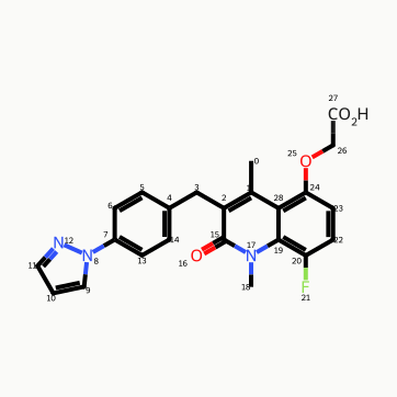 Cc1c(Cc2ccc(-n3cccn3)cc2)c(=O)n(C)c2c(F)ccc(OCC(=O)O)c12